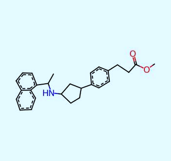 COC(=O)CCc1ccc(C2CCC(NC(C)c3cccc4ccccc34)C2)cc1